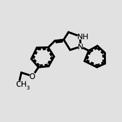 CCOc1ccc(C=C2CNN(c3ccccc3)C2)cc1